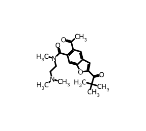 CC(=O)c1cc2cc(C(=O)C(C)(C)C)oc2cc1C(=O)N(C)CCN(C)C